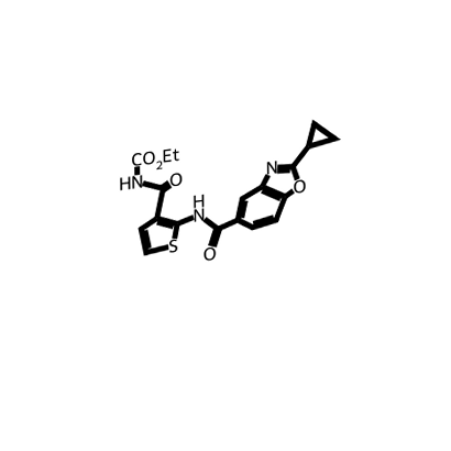 CCOC(=O)NC(=O)c1ccsc1NC(=O)c1ccc2oc(C3CC3)nc2c1